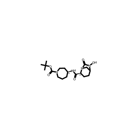 CC(C)(C)OC(=O)N1CCC[C@H](NC(=O)[C@@H]2CCC3CN2C(=O)N3O)CC1